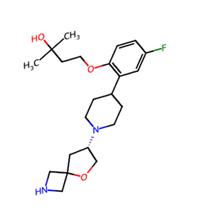 CC(C)(O)CCOc1ccc(F)cc1C1CCN([C@@H]2COC3(CNC3)C2)CC1